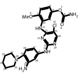 COc1ccc(OC(N)=O)cc1Nc1nc(Nc2ccc(N3CCCCC3)c(N)c2)ncc1Cl